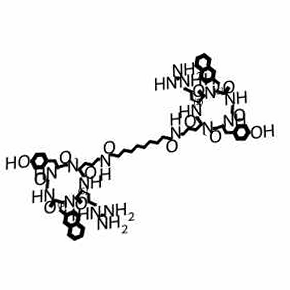 CN1C(=O)C(Cc2ccc(O)cc2)NC(=O)CNC(=O)[C@H](Cc2ccc3ccccc3c2)NC(=O)[C@H](CCCNC(=N)N)NC(=O)C1CCCNC(=O)CCCCCCCCC(=O)NCCCC1C(=O)N[C@@H](CCCNC(N)N)C(=O)N[C@@H](Cc2ccc3ccccc3c2)C(=O)NCC(=O)NC(Cc2ccc(O)cc2)C(=O)N1C